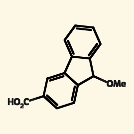 COC1c2ccccc2-c2cc(C(=O)O)ccc21